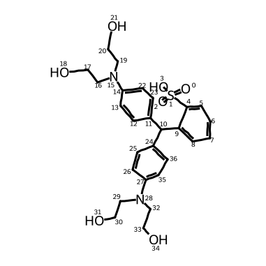 O=S(=O)(O)c1ccccc1C(c1ccc(N(CCO)CCO)cc1)c1ccc(N(CCO)CCO)cc1